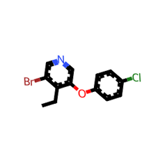 CCc1c(Br)cncc1Oc1ccc(Cl)cc1